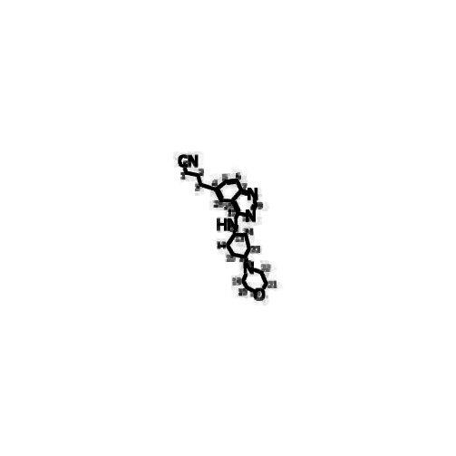 N#CCCCc1ccc2ncnc(N[C@H]3CC[C@H](N4CCOCC4)CC3)c2c1